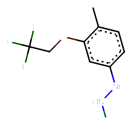 Cc1ccc(NNCl)cc1SCC(F)(F)F